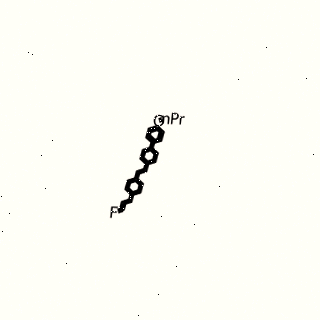 CCCOc1ccc(C2CCC(CCC3CCC(C/C=C/F)CC3)CC2)cc1